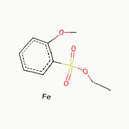 CCOS(=O)(=O)c1ccccc1OC.[Fe]